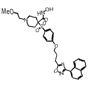 COCCN1CCC(C(=O)NO)(S(=O)(=O)c2ccc(OCCCc3nc(-c4cccc5ccccc45)no3)cc2)CC1